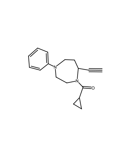 C#CC1CCN(c2ccccc2)CCN1C(=O)C1CC1